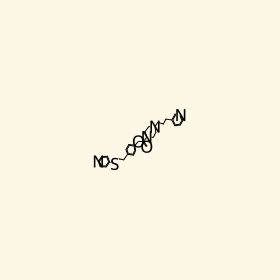 O=C(Oc1ccc(CCSc2ccncc2)cc1)N1CCN(CCCc2cccnc2)CC1